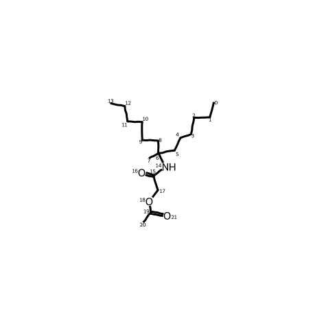 CCCCCCC(C)(CCCCCC)NC(=O)COC(C)=O